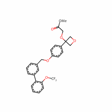 COC(=O)COC1(c2ccc(OCc3cccc(-c4ccccc4OC(F)(F)F)c3)cc2)COC1